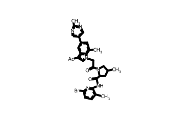 CC(=O)c1cn(CC(=O)N2CC(C)CC2C(=O)Nc2nc(Br)ccc2C)c2c(C)cc(-c3cnc(C)nc3)cc12